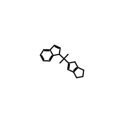 CC(C)(C1=CC2=C(CCC2)C1)C1C=Cc2ccccc21